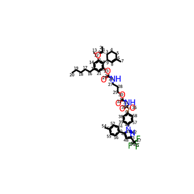 C=C(C)[C@@H]1CCC(C)=C[C@H]1c1c(OC)cc(CCCCC)cc1OC(=O)NCCCOC(=O)NS(=O)(=O)c1ccc(-n2nc(C(F)(F)F)cc2-c2ccc(C)cc2)cc1